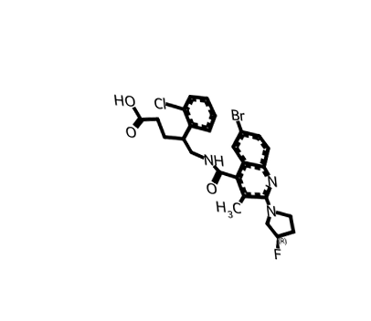 Cc1c(N2CC[C@@H](F)C2)nc2ccc(Br)cc2c1C(=O)NCC(CCC(=O)O)c1ccccc1Cl